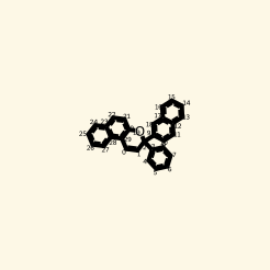 C1=CC(c2ccccc2)(c2ccc3ccccc3c2)Oc2ccc3ccccc3c21